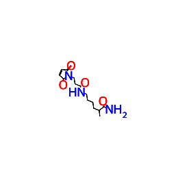 CC(CCCCNC(=O)CCN1C(=O)C=CC1=O)C(N)=O